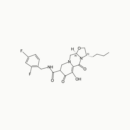 CCCC[C@H]1CO[C@@H]2CN3CC(C(=O)NCc4ccc(F)cc4F)C(=O)C(O)=C3C(=O)N12